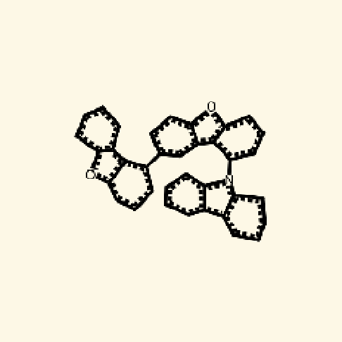 c1ccc2c(c1)oc1cccc(-c3ccc4oc5cccc(-n6c7ccccc7c7ccccc76)c5c4c3)c12